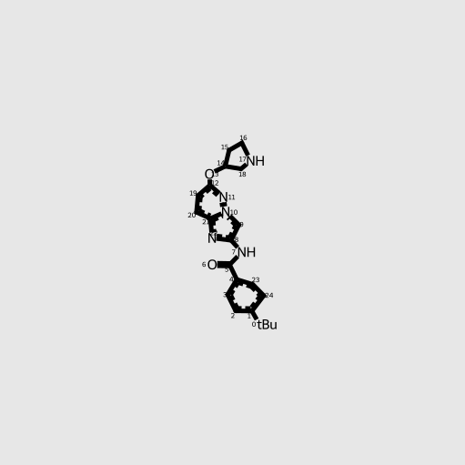 CC(C)(C)c1ccc(C(=O)Nc2cn3nc(OC4CCNC4)ccc3n2)cc1